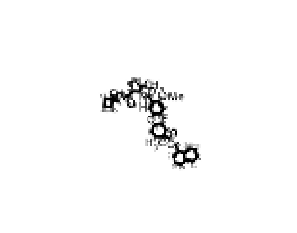 COc1cc(F)c(O[C@H]2CC[C@@](C)(C(=O)OCc3cccc4ccccc34)CC2)cc1C(=O)Nc1c(C)nsc1C(=O)NCC1(C)CCC1